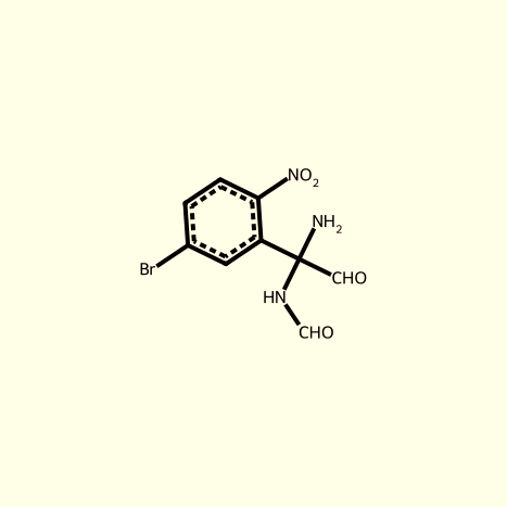 NC(C=O)(NC=O)c1cc(Br)ccc1[N+](=O)[O-]